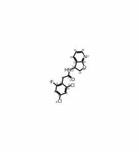 O=C(Cc1c(F)cc(Cl)cc1Cl)NC1COc2ncccc21